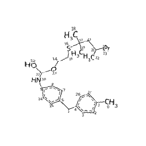 Cc1ccc(Cc2ccc(NC(O)OCCSC(C)(C)CC(C)C(C)C)cc2)cc1